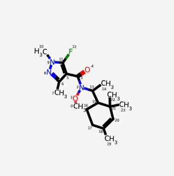 CON(C(=O)c1c(C)nn(C)c1F)C(C)C1CCC(C)=CC1(C)C